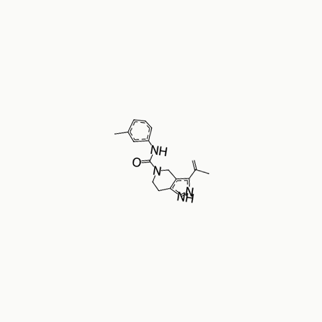 C=C(C)c1n[nH]c2c1CN(C(=O)Nc1cccc(C)c1)CC2